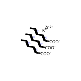 C/C=C/C=C/C(=O)[O-].C/C=C/C=C/C(=O)[O-].C/C=C/C=C/C(=O)[O-].[K+].[Zn+2]